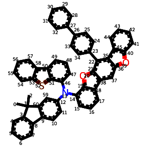 CC1(C)c2ccccc2-c2ccc(N(c3cccc4c3oc3c(-c5ccc(-c6ccccc6)cc5)c5c(cc34)oc3ccccc35)c3cccc4c3sc3ccccc34)cc21